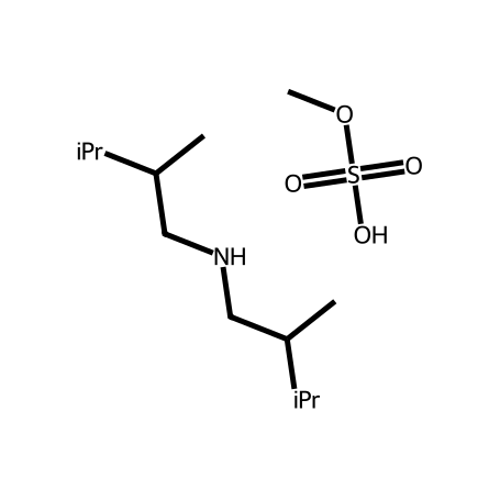 CC(C)C(C)CNCC(C)C(C)C.COS(=O)(=O)O